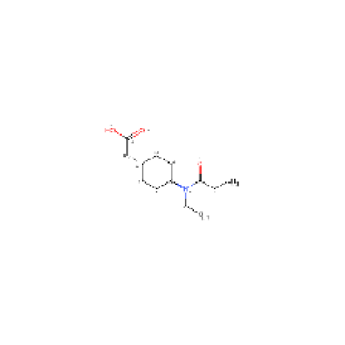 CCC(=O)N(CC)[C@H]1CC[C@H](CC(=O)O)CC1